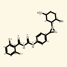 CC1CCC(C(C)C)C(N2OC2c2ccc(NC(=O)NC(=O)c3c(F)cccc3F)cc2)C1